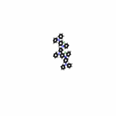 Fc1ccccc1N(c1ccc(N(c2ccccc2)c2ccccc2)cc1)c1ccc2c(c1)c1cc(N(c3ccc(N(c4ccccc4)c4ccccc4)cc3)c3ccccc3F)ccc1n2-c1ccccc1